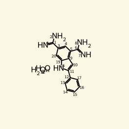 N=C(N)c1cc(C(=N)N)c2cc(-c3ccccc3)[nH]c2c1.O.O